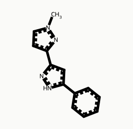 Cn1ccc(-c2cc(-c3ccccc3)[nH]n2)n1